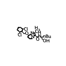 CCCCC(CO)NC(=O)c1c(C)nc2c(OCc3c(Cl)cccc3Cl)cccn12